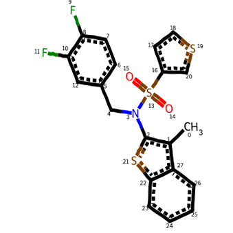 Cc1c(N(Cc2ccc(F)c(F)c2)S(=O)(=O)c2ccsc2)sc2ccccc12